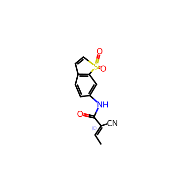 C/C=C(\C#N)C(=O)Nc1ccc2c(c1)S(=O)(=O)C=C2